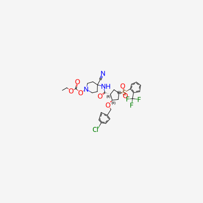 CCOC(=O)ON1CCC(C#N)(NC(=O)[C@@H]2C[C@@H](S(=O)(=O)c3ccccc3C(F)(F)F)C[C@H]2OCc2ccc(Cl)cc2)CC1